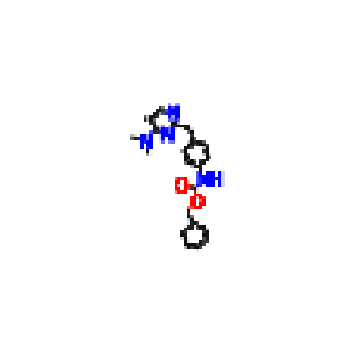 CN(C)c1[c]cnc(Cc2ccc(NC(=O)OCc3ccccc3)cc2)n1